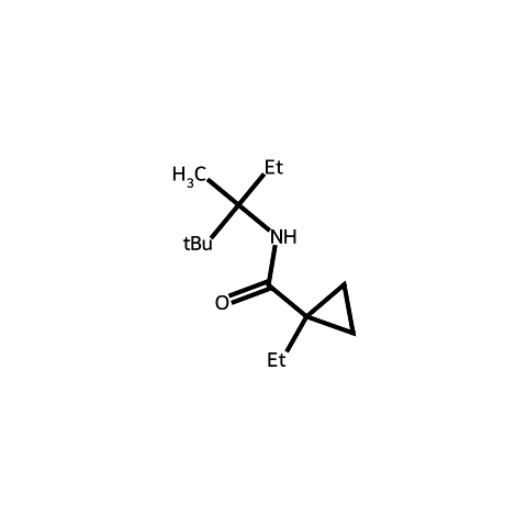 CCC1(C(=O)NC(C)(CC)C(C)(C)C)CC1